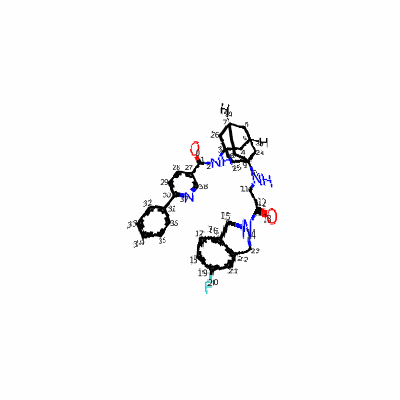 O=C(NC12C[C@@H]3C[C@@H](CC(NCC(=O)N4Cc5ccc(F)cc5C4)(C3)C1)C2)c1ccc(-c2ccccc2)nc1